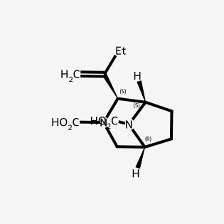 C=C(CC)[C@H]1[C@@H]2CC[C@H](CN1C(=O)O)N2C(=O)O